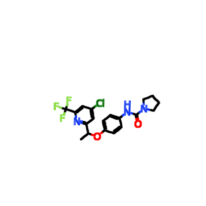 CC(Oc1ccc(NC(=O)N2CCCC2)cc1)c1cc(Cl)cc(C(F)(F)F)n1